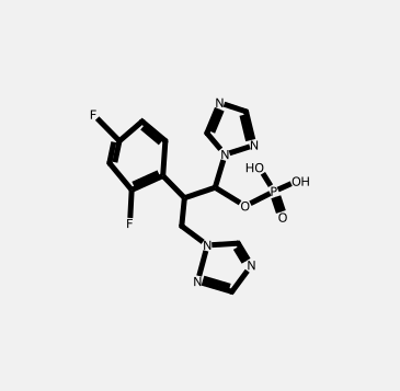 O=P(O)(O)OC(C(Cn1cncn1)c1ccc(F)cc1F)n1cncn1